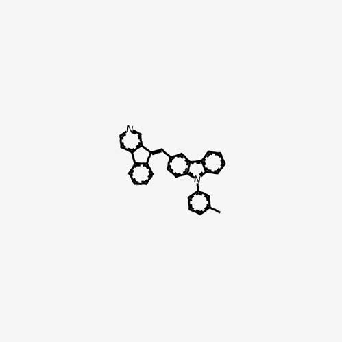 Cc1cccc(-n2c3ccccc3c3cc(/C=C4\c5ccccc5-c5ccncc54)ccc32)c1